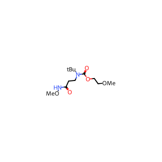 COCCOC(=O)N(CCC(=O)NOC)C(C)(C)C